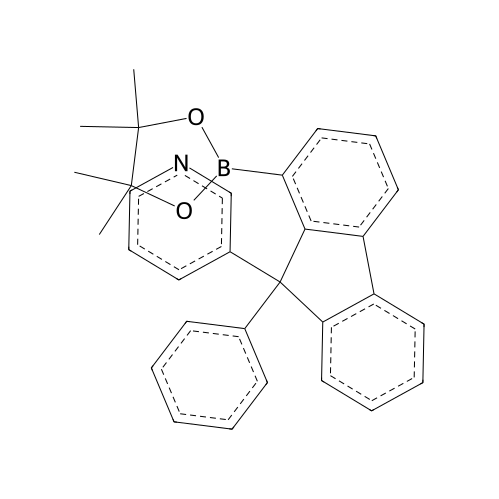 CC1(C)OB(c2cccc3c2C(c2ccccc2)(c2cccnc2)c2ccccc2-3)OC1(C)C